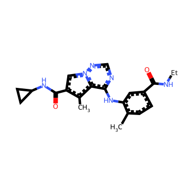 CCNC(=O)c1ccc(C)c(Nc2ncnn3cc(C(=O)NC4CC4)c(C)c23)c1